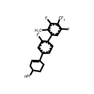 CCCC1CC=C(c2ccc(-c3cc(F)c(C(F)(F)F)c(F)c3C)c(F)c2)CC1